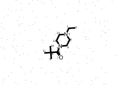 CCN1CCN(C(=O)C(C)(C)C)CC1